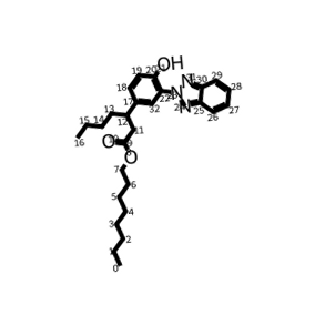 CCCCCCCCOC(=O)CC(CCCC)c1ccc(O)c(-n2nc3ccccc3n2)c1